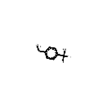 [2H]C([2H])([2H])c1ccc(CC)cc1